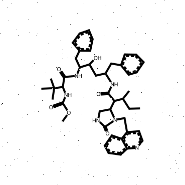 CCC(C)C(C(=O)NC(Cc1ccccc1)CC(O)C(Cc1ccccc1)NC(=O)C(NC(=O)OC)C(C)(C)C)C1CNC(=O)N1Cc1ccnc2ccccc12